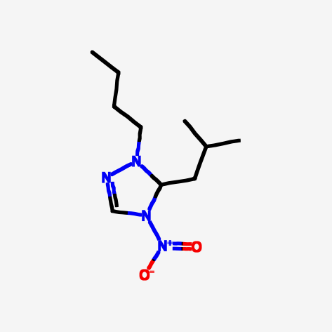 CCCCN1N=CN([N+](=O)[O-])C1CC(C)C